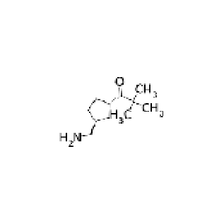 CC(C)(C)C(=O)[C@H]1CC[C@H](CN)C1